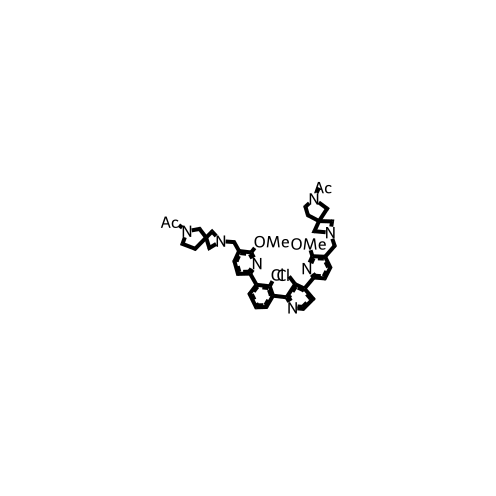 COc1nc(-c2cccc(-c3nccc(-c4ccc(CN5CC6(CCN(C(C)=O)C6)C5)c(OC)n4)c3Cl)c2Cl)ccc1CN1CC2(CCN(C(C)=O)C2)C1